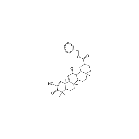 CC12CCC(C(=O)OCc3ccccc3)CC1C1C(=O)C=C3C4(C)C=C(C#N)C(=O)C(C)(C)C4CCC3(C)C1CC2